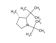 C[C@H]1CCN(C(C)(C)C)C1C(C)(C)C